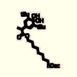 CCCCCCCCCCCCCCCCCCOC(=O)C(C)C1=CC(C(C)(C)C)C(O)(O)C(C(C)(C)C)=C1